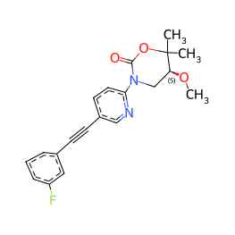 CO[C@H]1CN(c2ccc(C#Cc3cccc(F)c3)cn2)C(=O)OC1(C)C